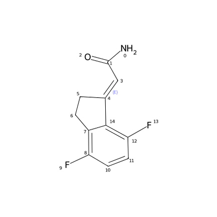 NC(=O)/C=C1\CCc2c(F)ccc(F)c21